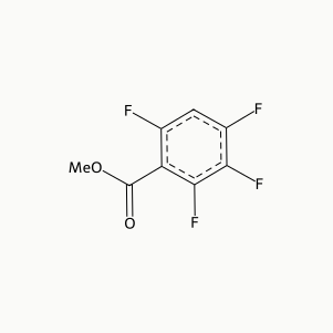 COC(=O)c1c(F)cc(F)c(F)c1F